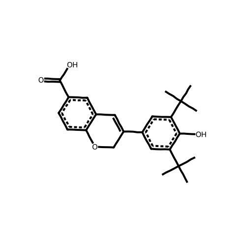 CC(C)(C)c1cc(C2=Cc3cc(C(=O)O)ccc3OC2)cc(C(C)(C)C)c1O